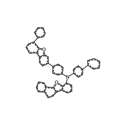 c1ccc(-c2ccc(N(c3ccc(-c4ccc5c(c4)oc4c(-c6ccccc6)cccc45)cc3)c3cccc4c3oc3c5ccccc5ccc43)cc2)cc1